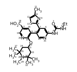 CCNC(=O)Nc1cc(-c2nc(C)cs2)c(-c2cc(C(=O)O)cnc2OC2CC(C)(C)N(C)C(C)(C)C2)cn1